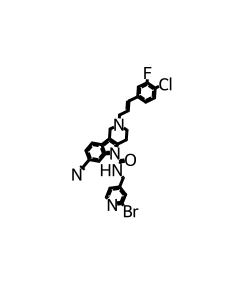 N#Cc1ccc2c3c(n(C(=O)NCc4ccnc(Br)c4)c2c1)CCN(CC=Cc1ccc(Cl)c(F)c1)C3